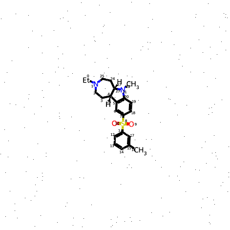 CCN1CC[C@H]2c3cc(S(=O)(=O)c4cccc(C)c4)ccc3N(C)[C@H]2CC1